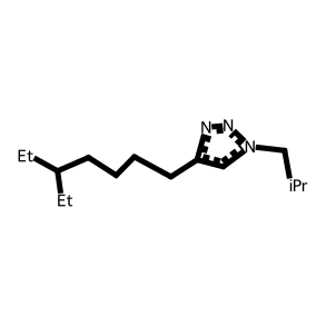 CCC(CC)CCCCc1cn(CC(C)C)nn1